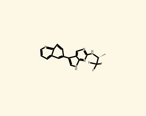 C[C@@H](Nc1ncc2c(-c3ccc4ncccc4c3)c[nH]c2n1)C(F)(F)F